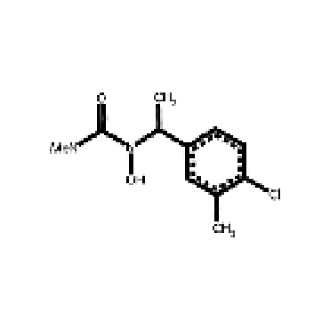 CNC(=O)N(O)C(C)c1ccc(Cl)c(C)c1